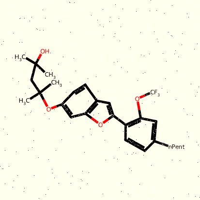 CCCCCc1ccc(-c2cc3ccc(OC(C)(C)CC(C)(C)O)cc3o2)c(OC(F)(F)F)c1